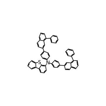 c1ccc(-c2cccc3ccc(-c4ccc(N(c5ccc(-c6ccc7cccc(-c8ccccc8)c7c6)cc5)c5cccc6c5sc5ccccc56)cc4)cc23)cc1